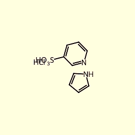 Cl.O=S(=O)(O)c1cccnc1.c1cc[nH]c1